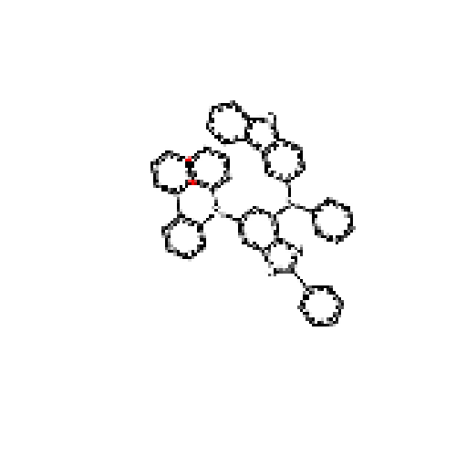 c1ccc(-c2nc3c(N(c4ccccc4)c4ccc5oc6ccccc6c5c4)cc(N(c4ccccc4)c4ccccc4-c4ccccc4)cc3o2)cc1